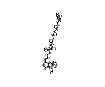 [N-]=[N+]=NCCOCCOCCOCCNC(=O)CCCCC1SCC2NC(=O)NC21